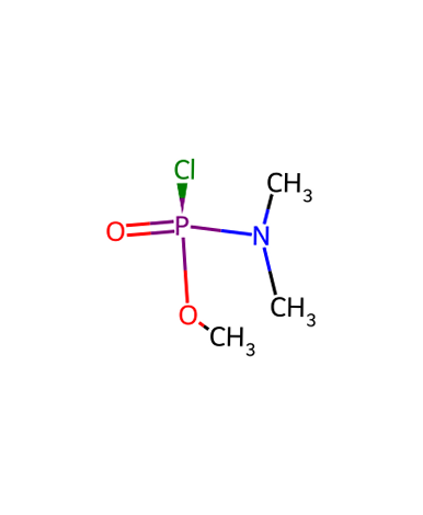 CO[P@@](=O)(Cl)N(C)C